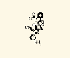 CC/C=C/n1c(N2CCC[C@@H](N)C2)nc2c1c(=O)n(CC(=O)c1ccccc1NC(=O)CC)c(=O)n2C